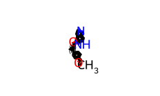 COCc1ccc([C@@H]2C[C@H]2C(=O)Nc2ccc3cnccc3c2)cc1